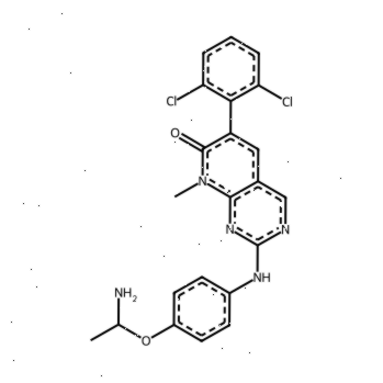 CC(N)Oc1ccc(Nc2ncc3cc(-c4c(Cl)cccc4Cl)c(=O)n(C)c3n2)cc1